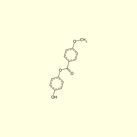 COc1ccc(C(=O)Oc2ccc(O)cc2)cc1